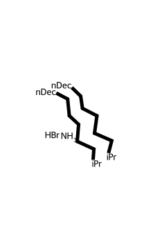 Br.CCCCCCCCCCCCCCCC(C)C.CCCCCCCCCCCCCCCC(C)C.N